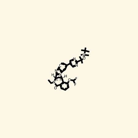 CCN1C(=O)c2cccc(OC(F)F)c2[C@H]2C[C@H]1c1nc3ccc(-c4cnc(C(C)(C)O[Si](C)(C)C(C)(C)C)nc4)cc3n12